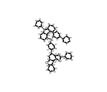 c1ccc(-c2cccc(N(c3ccc(-c4cc5oc6ccccc6c5c5oc(-c6ccccc6)nc45)cc3)c3cccc4c3c3ccccc3n4-c3ccccc3)c2)cc1